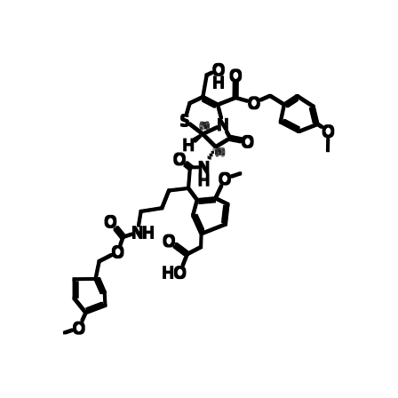 COc1ccc(COC(=O)NCCCC(C(=O)N[C@H]2C(=O)N3C(C(=O)OCc4ccc(OC)cc4)=C(CO)CS[C@@H]23)c2cc(CC(=O)O)ccc2OC)cc1